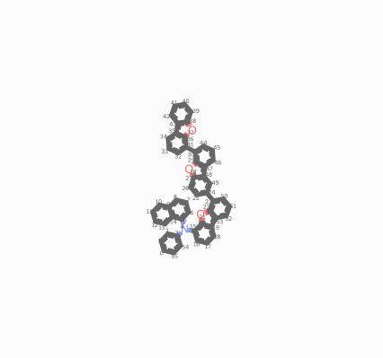 c1ccc(N(c2cccc3ccccc23)c2cccc3c2oc2c(-c4ccc5oc6c(-c7cccc8c7oc7ccccc78)cccc6c5c4)cccc23)cc1